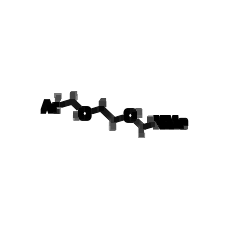 CNCOCCOCC(C)=O